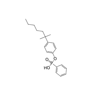 CCCCCC(C)(C)c1ccc(OP(=O)(O)c2ccccc2)cc1